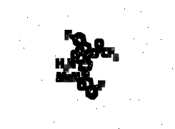 CNC(=O)C(Cc1ccccc1F)N1CCN(C(=O)C(Cc2ccc(F)cc2)OC(=O)C(F)(F)F)C(C(N)=O)C1